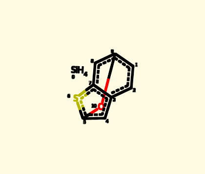 [SiH4].c1cc2cc3sc2cc1O3